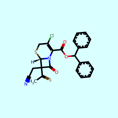 CC(=S)C1(CC#N)C(=O)N2C(C(=O)OC(c3ccccc3)c3ccccc3)=C(Cl)CS[C@H]21